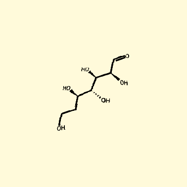 O=C[C@@H](O)[C@H](O)[C@H](O)[C@H](O)CCO